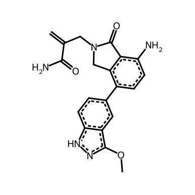 C=C(CN1Cc2c(-c3ccc4[nH]nc(OC)c4c3)ccc(N)c2C1=O)C(N)=O